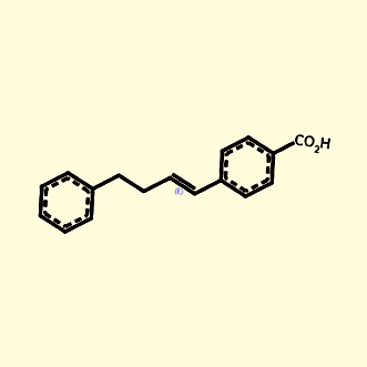 O=C(O)c1ccc(/C=C/CCc2ccccc2)cc1